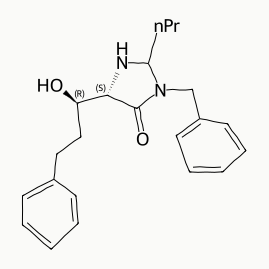 CCCC1N[C@@H]([C@H](O)CCc2ccccc2)C(=O)N1Cc1ccccc1